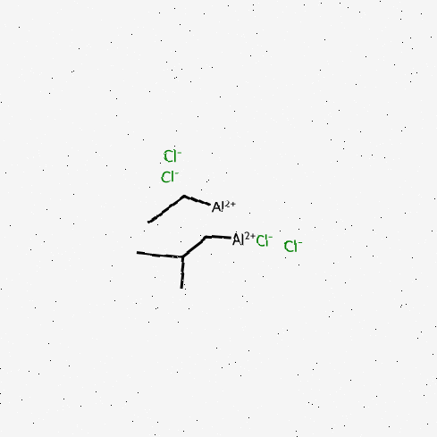 CC(C)[CH2][Al+2].C[CH2][Al+2].[Cl-].[Cl-].[Cl-].[Cl-]